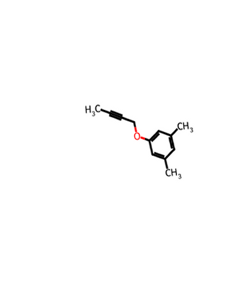 CC#CCOc1cc(C)cc(C)c1